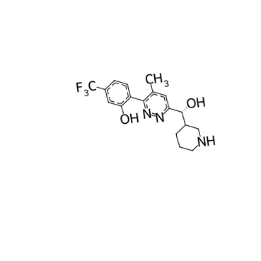 Cc1cc([C@H](O)C2CCCNC2)nnc1-c1ccc(C(F)(F)F)cc1O